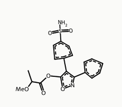 COC(C)C(=O)Oc1onc(-c2ccccc2)c1-c1ccc(S(N)(=O)=O)cc1